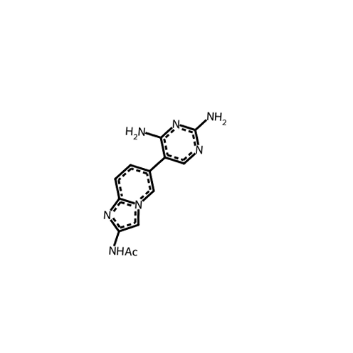 CC(=O)Nc1cn2cc(-c3cnc(N)nc3N)ccc2n1